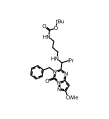 COc1cc2nc(C(NCCCNC(=O)OC(C)(C)C)C(C)C)n(Cc3ccccc3)c(=O)n2n1